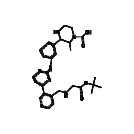 CC1C(c2cccc(Nc3nccc(-c4ccccc4CNCC(=O)OC(C)(C)C)n3)c2)NCCN1C(=O)O